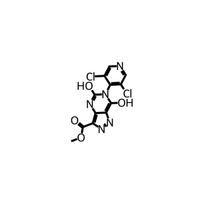 COC(=O)c1nnc2c(O)n(-c3c(Cl)cncc3Cl)c(O)nc1-2